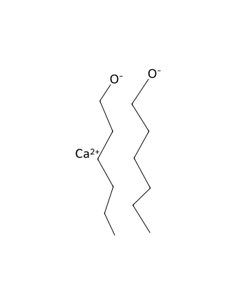 CCCCCC[O-].CCCCCC[O-].[Ca+2]